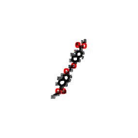 CCOC(=O)c1ccc2cc(OCCOc3ccc4cc(C(=O)OCC)ccc4c3)ccc2c1